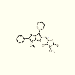 CN1C(=O)/C(=C\c2nc3c(nc(-c4ccccc4)n3C)n2-c2ccccc2)SC1=S